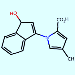 Cc1cc(C(=O)O)n(C2=CC(O)c3ccccc32)c1